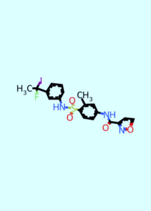 Cc1cc(NC(=O)c2ccon2)ccc1S(=O)(=O)Nc1cccc(C(C)(F)I)c1